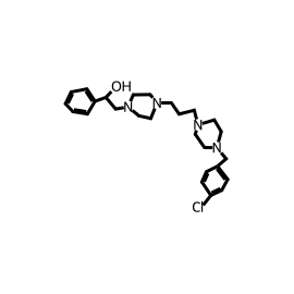 OC(CN1CCN(CCCN2CCN(Cc3ccc(Cl)cc3)CC2)CC1)c1ccccc1